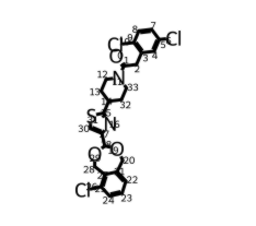 O=C(Cc1cc(Cl)ccc1Cl)N1CCC(c2nc(C3OCc4cccc(Cl)c4CO3)cs2)CC1